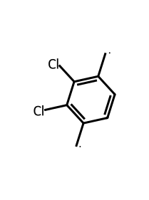 [CH2]c1ccc([CH2])c(Cl)c1Cl